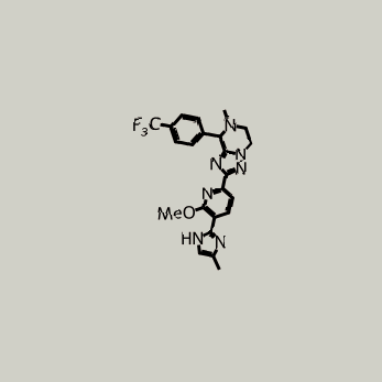 COc1nc(-c2nc3n(n2)CCN(C)C3c2ccc(C(F)(F)F)cc2)ccc1-c1nc(C)c[nH]1